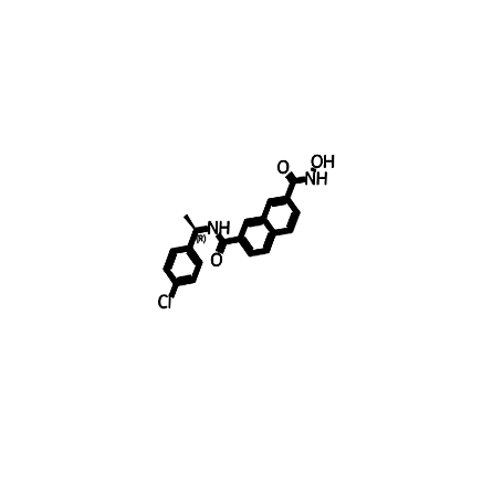 C[C@@H](NC(=O)c1ccc2ccc(C(=O)NO)cc2c1)c1ccc(Cl)cc1